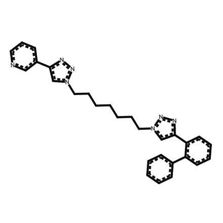 c1ccc(-c2ccccc2-c2cn(CCCCCCCn3cc(-c4cccnc4)nn3)nn2)cc1